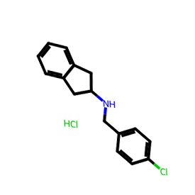 Cl.Clc1ccc(CNC2Cc3ccccc3C2)cc1